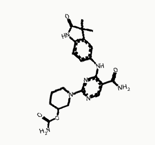 CC1(C)C(=O)Nc2ccc(Nc3nc(N4CCCC(OC(N)=O)C4)ncc3C(N)=O)cc21